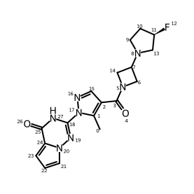 Cc1c(C(=O)N2CC(N3CC[C@@H](F)C3)C2)cnn1-c1nn2cccc2c(=O)[nH]1